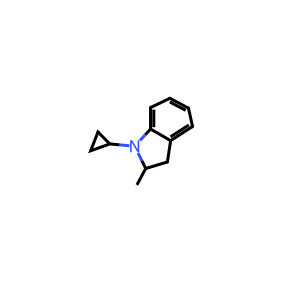 CC1Cc2ccccc2N1C1CC1